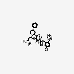 CCOC(O)CCN1CC[C@H](c2ccccc2)C[C@@H]1C(=O)N[C@@H](C)C(=O)NCc1cc(Cl)ccc1-n1cnnn1